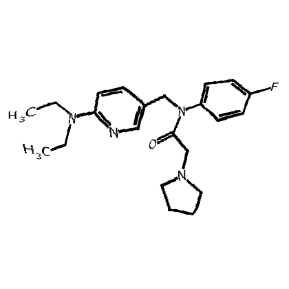 CCN(CC)c1ccc(CN(C(=O)CN2CCCC2)c2ccc(F)cc2)cn1